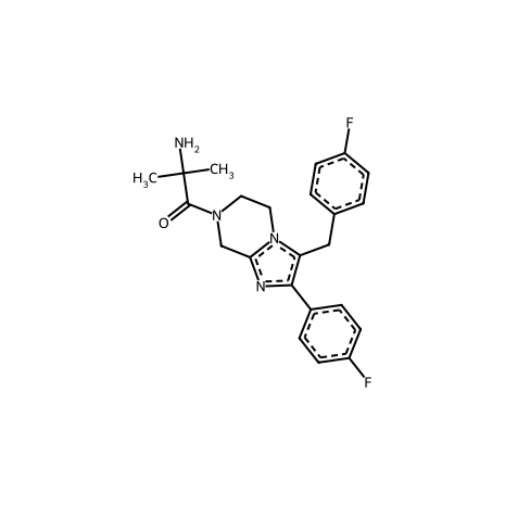 CC(C)(N)C(=O)N1CCn2c(nc(-c3ccc(F)cc3)c2Cc2ccc(F)cc2)C1